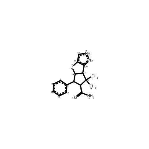 CC1(C)C(C(N)=O)C(c2ccccc2)C2Oc3c[nH]nc3C21